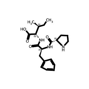 CC[C@H](C)[C@H](NC(=O)[C@H](Cc1ccccc1)NC(=O)[C@@H]1CCCN1)C(=O)O